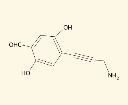 NCC#Cc1cc(O)c(C=O)cc1O